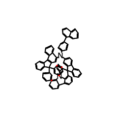 c1ccc(C2(c3ccccc3)c3ccccc3-c3c2cc(N(c2ccc(-c4cccc5ccccc45)cc2)c2ccc4c(c2)C2(c5ccccc5-4)c4ccccc4-n4c5ccccc5c5cccc2c54)c2ccccc32)cc1